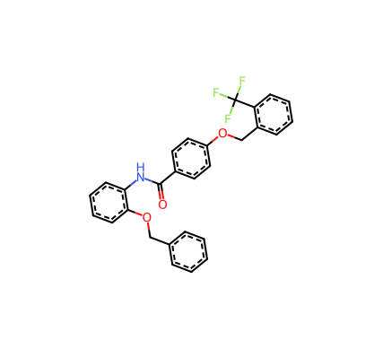 O=C(Nc1ccccc1OCc1ccccc1)c1ccc(OCc2ccccc2C(F)(F)F)cc1